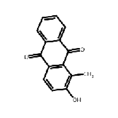 Cc1c(O)ccc2c1C(=O)c1ccccc1C2=O